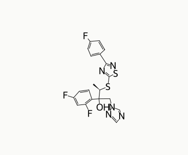 C[C@@H](Sc1nc(-c2ccc(F)cc2)ns1)C(O)(Cn1cncn1)c1ccc(F)cc1F